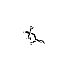 C[S+]([O-])CP(=O)(O)O